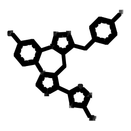 CC(C)c1noc(-c2ncn3c2Cc2c(Cc4ccc(F)cc4)nnn2-c2cc(Cl)ccc2-3)n1